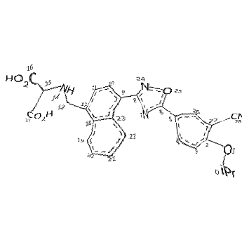 CC(C)Oc1ccc(-c2nc(-c3ccc(CNC(C(=O)O)C(=O)O)c4ccccc34)no2)cc1C#N